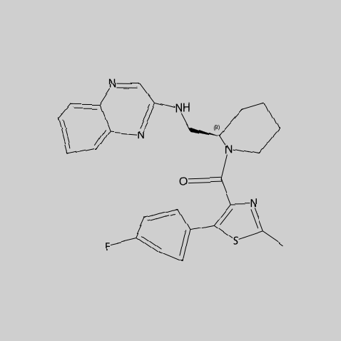 Cc1nc(C(=O)N2CCCC[C@@H]2CNc2cnc3ccccc3n2)c(-c2ccc(F)cc2)s1